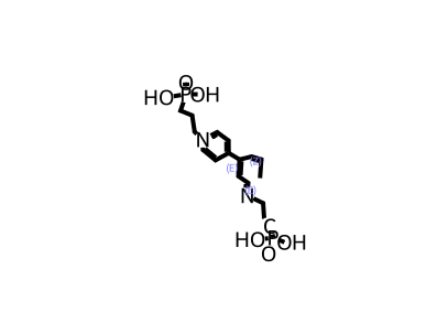 C\C=C/C(=C\C=N\CCCP(=O)(O)O)c1cc[n+](CCCP(=O)(O)O)cc1